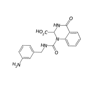 Nc1cccc(CNC(=O)N2c3ccccc3C(=O)NC2C(=O)O)c1